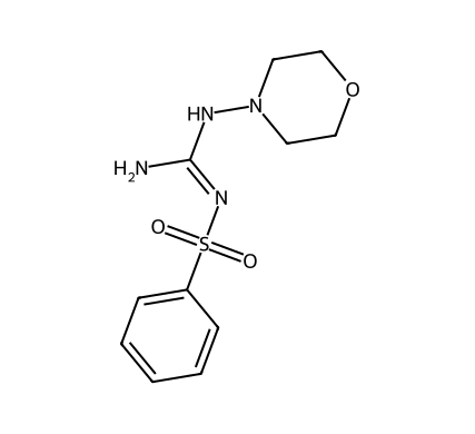 N/C(=N\S(=O)(=O)c1ccccc1)NN1CCOCC1